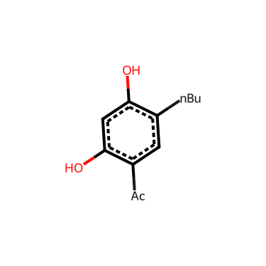 CCCCc1cc(C(C)=O)c(O)cc1O